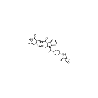 CSc1cc(C)[nH]c(=O)c1CNC(=O)c1c(C)n(C(C)C2CCC(NC(=O)C3(C)COC3)CC2)c2ccccc12